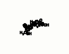 CC(O)c1cc2cnc(Nc3ccc4c(n3)CCN(C(=O)[C@@H]3C[C@@H](O)CN3C)C4)nc2c(N2C3CCC2CC3)n1